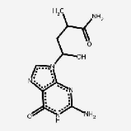 CC(CC(O)n1cnc2c(=O)[nH]c(N)nc21)C(N)=O